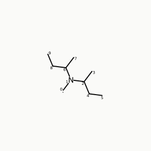 [CH2]N(C(C)CC)C(C)CC